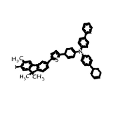 Cc1cc2c(cc1I)C(C)(C)c1ccc(-c3ccc(C4C=CC(N(c5ccc(C6=CC=CCC6)cc5)c5ccc(-c6ccccc6)cc5)=CC4)s3)cc1-2